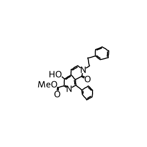 COC(=O)c1nc(-c2ccccc2)c2c(=O)n(CCc3ccccc3)ccc2c1O